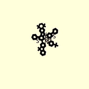 CC(C)(C)c1ccc(Nc2cc3c(cc2-c2c4c5c(c6cc7c(cc6n5-c5cc6c(cc5B4)sc4ccccc46)C(C)(C)CCC7(C)C)c4c2sc2ccccc24)C(C)(C)c2ccccc2-3)cc1